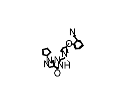 C[C@H](c1nc2c(cnn2C2CCCC2)c(=O)[nH]1)N1CC[C@@H](Oc2ccccc2C#N)C1